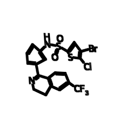 O=S(=O)(Nc1cccc(C2=NCCc3cc(C(F)(F)F)ccc32)c1)c1cc(Br)c(Cl)s1